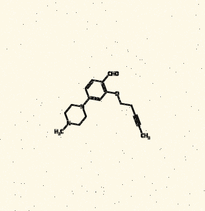 CC#CCCOc1cc(N2CCN(C)CC2)ccc1C=O